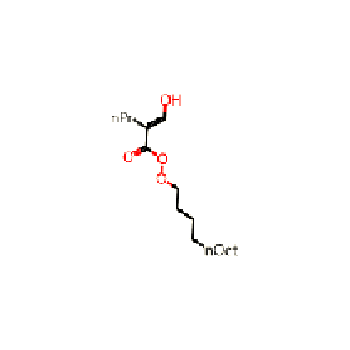 CCCCCCCCCCCCOOC(=O)C(=CO)CCC